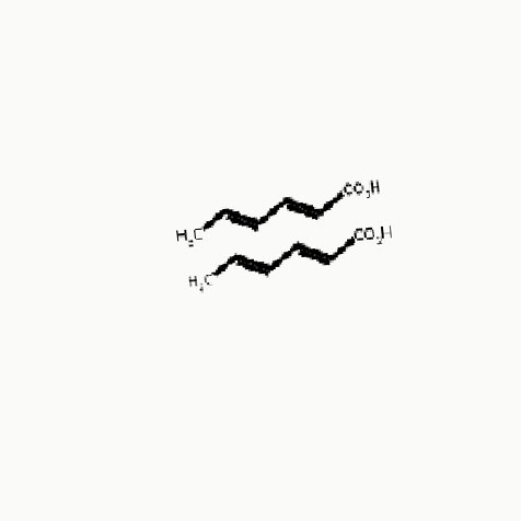 C/C=C/C=C/C(=O)O.CC=CC=CC(=O)O